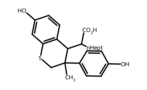 CCCCCCCC(C(=O)O)C1c2ccc(O)cc2SCC1(C)c1ccc(O)cc1